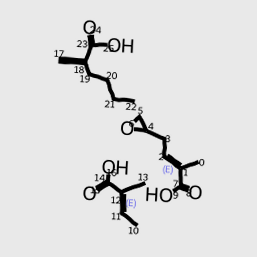 C/C(=C\CC1CO1)C(=O)O.C/C=C(\C)C(=O)O.C=C(CCCC)C(=O)O